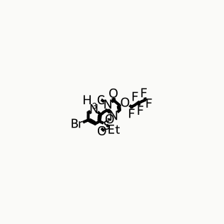 CCS(=O)(=O)c1cc(Br)cnc1-c1ncc(OC(F)C(F)(F)C(F)F)c(=O)n1C